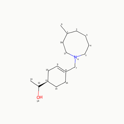 CC1CCCCN(CC2=CC[C@H](C(C)O)CC2)CC1